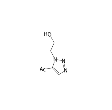 CC(=O)c1cnnn1CCO